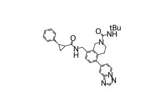 CC(C)(C)NC(=O)N1CCc2c(-c3ccn4ncnc4c3)ccc(CNC(=O)C3C[C@H]3c3ccccc3)c2C1